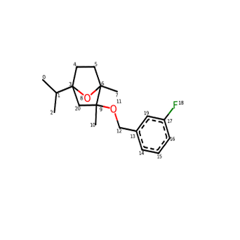 CC(C)C12CCC(C)(O1)C(C)(OCc1cccc(F)c1)C2